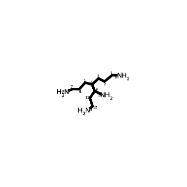 NCCCC(CCCN)C(N)CCN